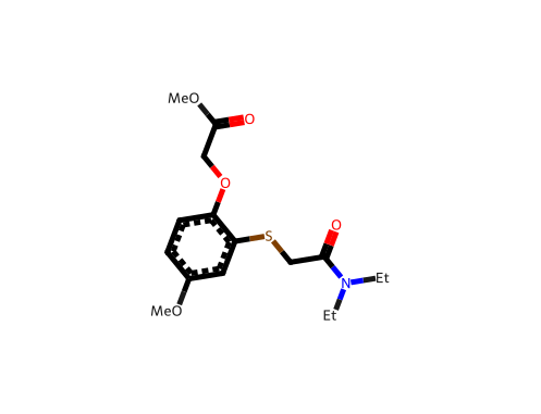 CCN(CC)C(=O)CSc1cc(OC)ccc1OCC(=O)OC